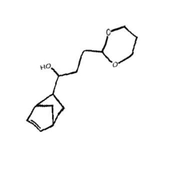 OC(CCC1OCCCO1)C1CC2C=CC1C2